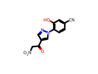 N#Cc1ccc(-n2cc(C(=O)C[N+](=O)[O-])cn2)c(O)c1